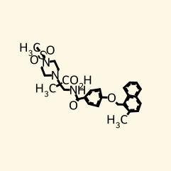 Cc1ccc2ccccc2c1COc1ccc(C(=O)NC[C@@](C)(C(=O)O)N2CCN(S(C)(=O)=O)CC2)cc1